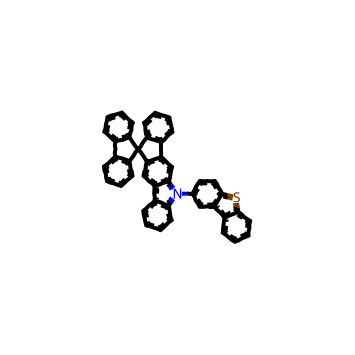 c1ccc2c(c1)-c1ccccc1C21c2ccccc2-c2cc3c(cc21)c1ccccc1n3-c1ccc2sc3ccccc3c2c1